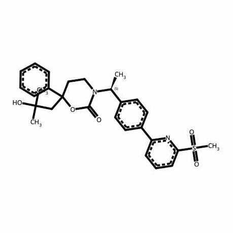 C[C@@H](c1ccc(-c2cccc(S(C)(=O)=O)n2)cc1)N1CCC(CC(C)(C)O)(c2ccccc2)OC1=O